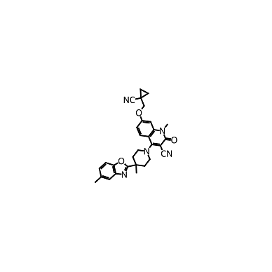 Cc1ccc2oc(C3(C)CCN(c4c(C#N)c(=O)n(C)c5cc(OCC6(C#N)CC6)ccc45)CC3)nc2c1